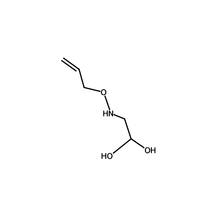 C=CCONCC(O)O